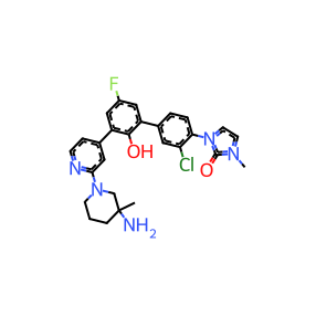 Cn1ccn(-c2ccc(-c3cc(F)cc(-c4ccnc(N5CCCC(C)(N)C5)c4)c3O)cc2Cl)c1=O